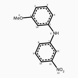 COc1cccc(Nc2cccc([N+](=O)[O-])c2)c1